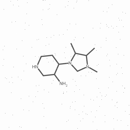 CC1C(C)N(C2CCNCC2N)CN1C